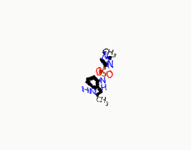 Cc1cc2c(NS(=O)(=O)c3cn(C)cn3)cccc2[nH]1